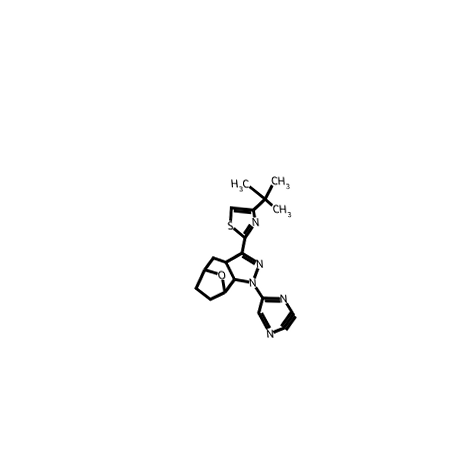 CC(C)(C)c1csc(C2=NN(c3cnc#cn3)C3C4CCC(CC23)O4)n1